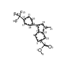 COC(=O)c1ccc2c(-c3ccc(C(F)(F)F)cc3)cn(C)c2c1